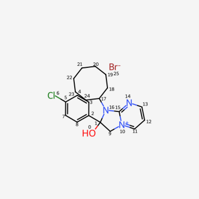 OC1(c2ccc(Cl)cc2)C[n+]2cccnc2N1C1CCCCCCC1.[Br-]